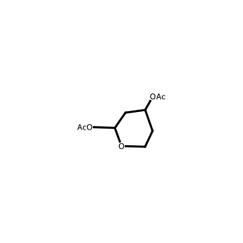 CC(=O)OC1CCOC(OC(C)=O)C1